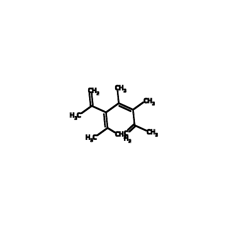 C=C(C)C(=C(C)C)/C(C)=C(/C)C(=C)C